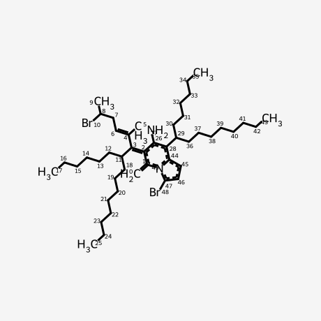 C=c1/c(=C(/C(C)=C/CC(C)Br)C(CCCCCC)CCCCCCCC)c(N)c(C(CCCCCC)CCCCCCCC)c2ccc(Br)n12